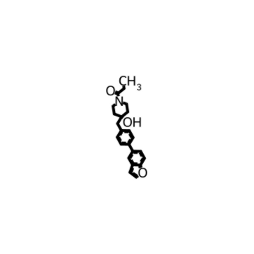 CCC(=O)N1CCC(O)(Cc2ccc(-c3ccc4occc4c3)cc2)CC1